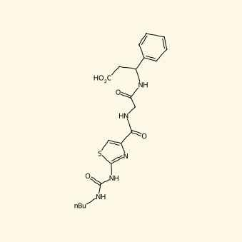 CCCCNC(=O)Nc1nc(C(=O)NCC(=O)NC(CC(=O)O)c2ccccc2)cs1